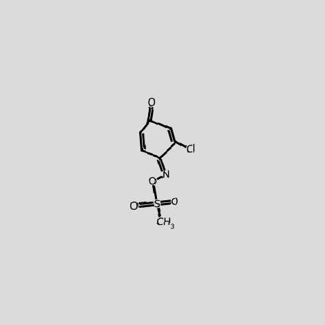 CS(=O)(=O)ON=C1C=CC(=O)C=C1Cl